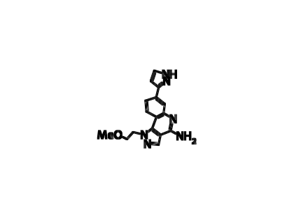 COCCn1ncc2c(N)nc3cc(-c4cc[nH]n4)ccc3c21